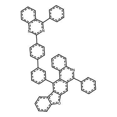 c1ccc(-c2nc(-c3ccc(-c4cccc(-c5c6c(cc7c(-c8ccccc8)nc8ccccc8c57)oc5ccccc56)c4)cc3)nc3ccccc23)cc1